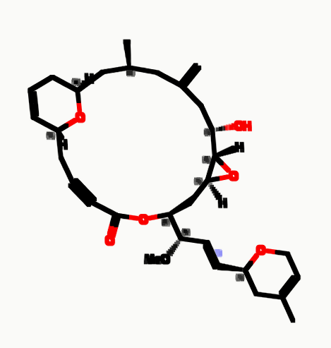 C=C1C[C@H](C)C[C@@H]2CC=C[C@@H](CC#CC(=O)O[C@H]([C@H](/C=C/[C@@H]3CC(C)=CCO3)OC)C[C@@H]3O[C@H]3[C@@H](O)C1)O2